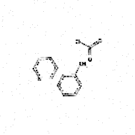 Cc1ccccc1.O=[SH](=O)Cl.c1ccncc1